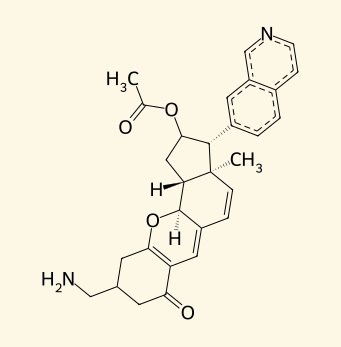 CC(=O)OC1C[C@H]2[C@@H]3OC4=C(C=C3C=C[C@]2(C)[C@H]1c1ccc2ccncc2c1)C(=O)CC(CN)C4